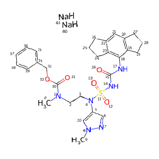 CN(CCN(c1cnn(C)c1)S(=O)(=O)NC(=O)Nc1c2c(cc3c1CCC3)CCC2)C(=O)OCc1ccccc1.[NaH].[NaH]